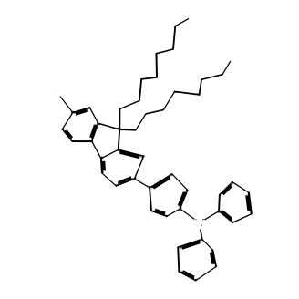 CCCCCCCCC1(CCCCCCCC)c2cc(Br)ccc2-c2ccc(-c3ccc(N(c4ccccc4)c4ccccc4)cc3)cc21